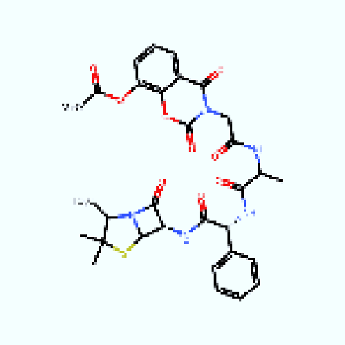 COC(=O)Oc1cccc2c(=O)n(CC(=O)NC(C)C(=O)N[C@@H](C(=O)N[C@@H]3C(=O)N4C3SC(C)(C)C4C(=O)O)c3ccccc3)c(=O)oc12